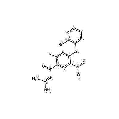 Cc1cc(Sc2ccccc2Br)c([N+](=O)[O-])cc1C(=O)N=C(N)N